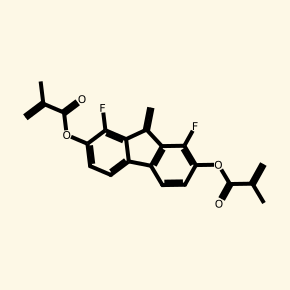 C=C(C)C(=O)Oc1ccc2c(c1F)C(=C)c1c-2ccc(OC(=O)C(=C)C)c1F